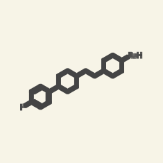 Fc1ccc(C2CCC(CCC3CC[CH]([RaH])CC3)CC2)cc1